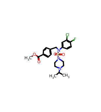 COC(=O)c1ccc(CN(c2ccc(F)c(Cl)c2)S(=O)(=O)N2CCN(C(C)C)CC2)cc1